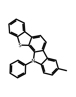 Cc1ccc2c(c1)c1ccc3c4ccccc4sc3c1n2-c1ccccc1